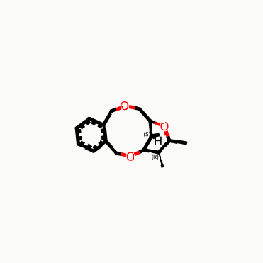 CC1OC2COCc3ccccc3COC([C@@H]1C)[C@@H]2C